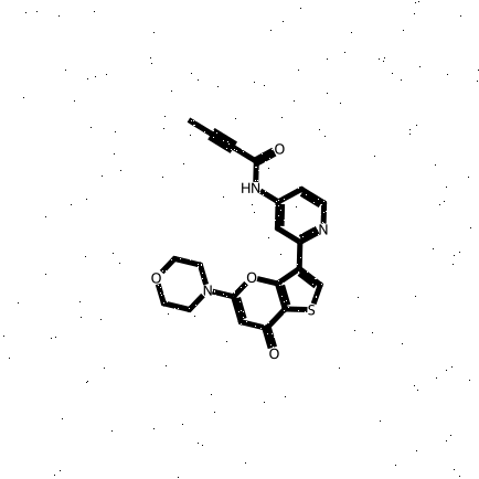 CC#CC(=O)Nc1ccnc(-c2csc3c(=O)cc(N4CCOCC4)oc23)c1